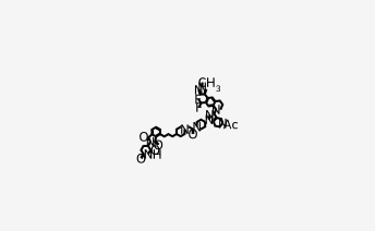 CC(=O)N1CCc2c(c(N3CCCc4cc(-c5cnn(C)c5)c(C(F)F)cc43)nn2C2CCN(C(=O)CN3CCC(CCCc4cccc5c4C(=O)N(C4CCC(=O)NC4=O)C5=O)CC3)CC2)C1